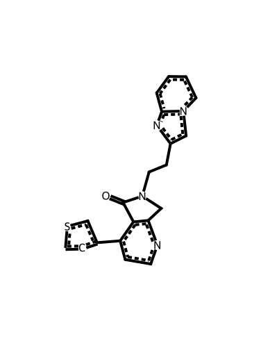 O=C1c2c(-c3ccsc3)ccnc2CN1CCc1cn2ccccc2n1